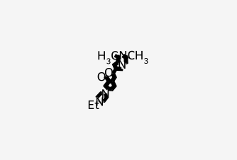 CCN1CCN(c2ccc3cc(-c4cc5c(C)nc(C)cn5c4)oc(=O)c3c2)CC1